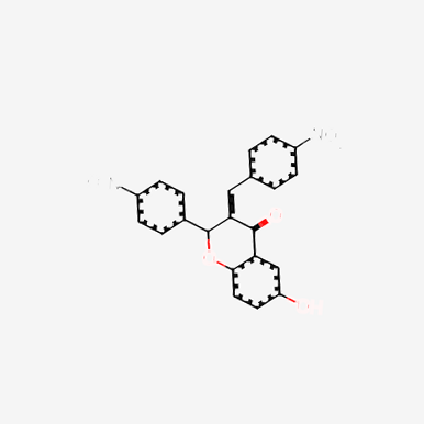 O=C1C(=Cc2ccc([N+](=O)[O-])cc2)C(c2ccc([N+](=O)[O-])cc2)Oc2ccc(O)cc21